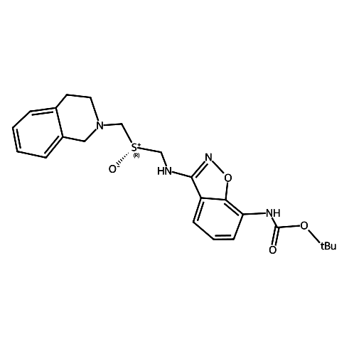 CC(C)(C)OC(=O)Nc1cccc2c(NC[S@+]([O-])CN3CCc4ccccc4C3)noc12